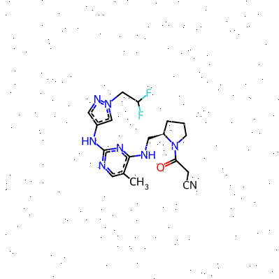 Cc1cnc(Nc2cnn(CC(F)F)c2)nc1NC[C@H]1CCCN1C(=O)CC#N